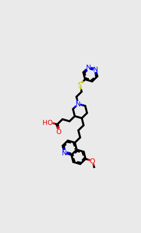 COc1ccc2nccc(CCCC3CCN(CCSc4ccnnc4)CC3CCC(=O)O)c2c1